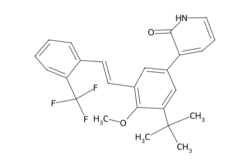 COc1c(C=Cc2ccccc2C(F)(F)F)cc(-c2ccc[nH]c2=O)cc1C(C)(C)C